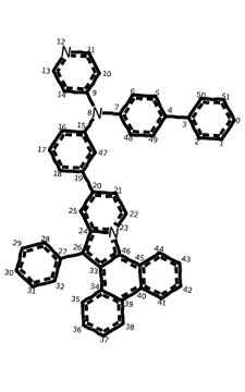 c1ccc(-c2ccc(N(c3ccncc3)c3cccc(-c4ccn5c(c4)c(-c4ccccc4)c4c6ccccc6c6ccccc6c45)c3)cc2)cc1